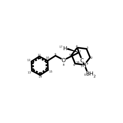 B[N+]12CCC(CC1)[C@@H](OCc1ccccc1)C2